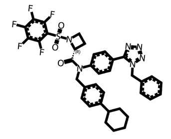 O=C([C@H]1CCN1S(=O)(=O)c1c(F)c(F)c(F)c(F)c1F)N(Cc1ccc(C2CCCCC2)cc1)c1ccc(-c2nnnn2Cc2ccccc2)cc1